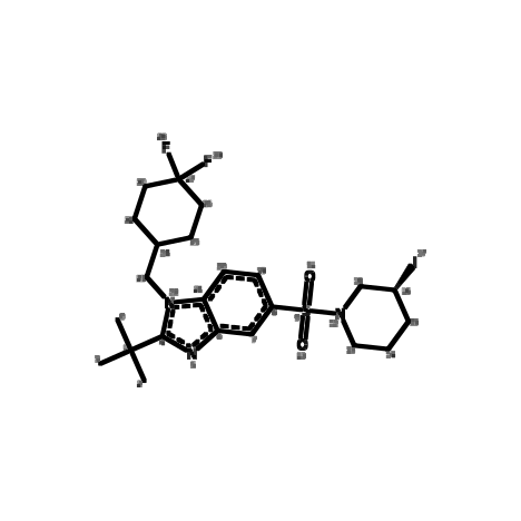 CC(C)(C)c1nc2cc(S(=O)(=O)N3CCC[C@H](I)C3)ccc2n1CC1CCC(F)(F)CC1